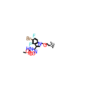 CCOC(=O)N/C(=N\O)c1cn(COCC[Si](C)(C)C)c2cc(F)c(Br)c(F)c12